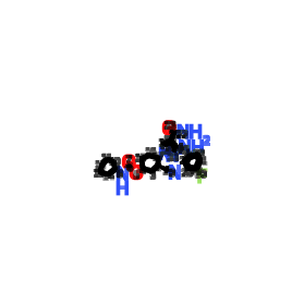 N#C[C@H]1C[C@H](OC(=O)NC2CCCCC2)CC[C@@H]1n1cc(C(N)=O)c(Nc2ccc(F)cc2)n1